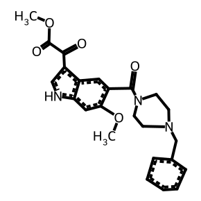 COC(=O)C(=O)c1c[nH]c2cc(OC)c(C(=O)N3CCN(Cc4ccccc4)CC3)cc12